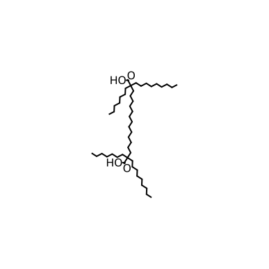 CCCCCCCCCC(CCCCCCC)(CCCCCCCCCCCCCC(CCCCCCC)(CCCCCCCCC)C(=O)O)C(=O)O